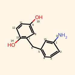 Nc1cccc(Cc2cc(O)ccc2O)c1